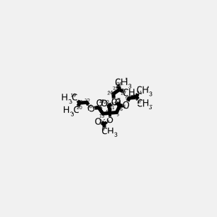 CC(=O)OC(CC(=O)OCC(C)C)(CC(=O)OCC(C)C)C(=O)OCC(C)C